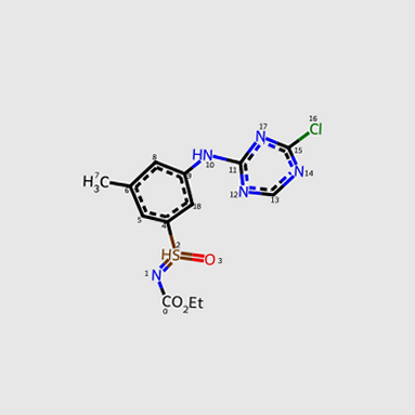 CCOC(=O)/N=[SH](=O)/c1cc(C)cc(Nc2ncnc(Cl)n2)c1